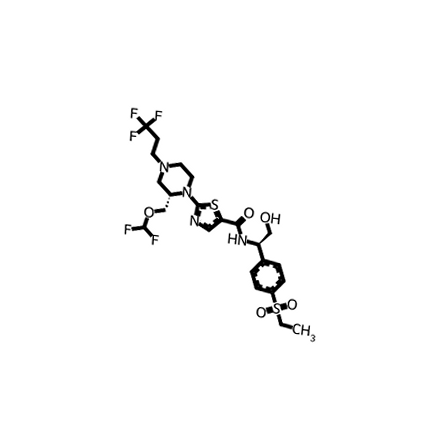 CCS(=O)(=O)c1ccc([C@H](CO)NC(=O)c2cnc(N3CCN(CCC(F)(F)F)C[C@H]3COC(F)F)s2)cc1